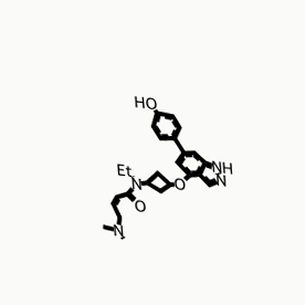 CCN(C(=O)/C=C\CN(C)C)C1CC(Oc2cc(-c3ccc(O)cc3)cc3[nH]ncc23)C1